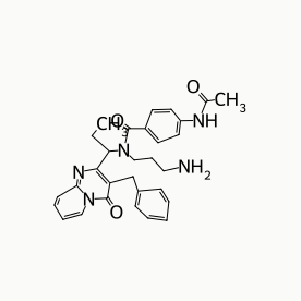 CCC(c1nc2ccccn2c(=O)c1Cc1ccccc1)N(CCCN)C(=O)c1ccc(NC(C)=O)cc1